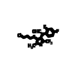 Cn1nc(C(F)(F)F)c(N(C=O)c2ccc(F)cc2F)c1SCCCCl